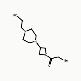 CC(C)(C)OC(=O)N1CC(N2CCN(CCO)CC2)C1